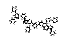 c1ccc(-c2cccc(-n3c4ccc(-c5ccc6c(c5)c5ccc7c(cnn7-c7cccc(-c8nc(-c9ccccc9)cc(-c9ccccc9)n8)c7)c5n6-c5ccccc5)cc4c4ccc5c(cnn5-c5ccccc5)c43)c2)cc1